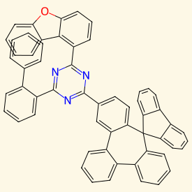 c1ccc(-c2ccccc2-c2nc(-c3ccc4c(c3)-c3ccccc3-c3ccccc3C43c4ccccc4-c4ccccc43)nc(-c3cccc4oc5ccccc5c34)n2)cc1